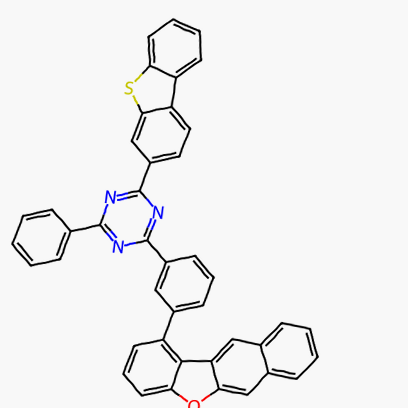 c1ccc(-c2nc(-c3cccc(-c4cccc5oc6cc7ccccc7cc6c45)c3)nc(-c3ccc4c(c3)sc3ccccc34)n2)cc1